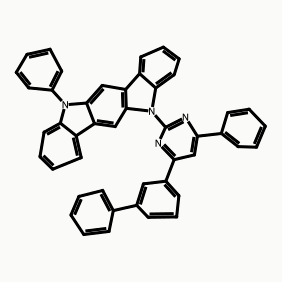 c1ccc(-c2cccc(-c3cc(-c4ccccc4)nc(-n4c5ccccc5c5cc6c(cc54)c4ccccc4n6-c4ccccc4)n3)c2)cc1